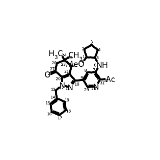 COC1CCCC1Nc1cc(-c2nn(Cc3ccccc3)c3c2CC(C)(C)CC3=O)cnc1C(C)=O